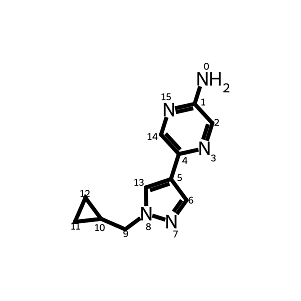 Nc1cnc(-c2cnn(CC3CC3)c2)cn1